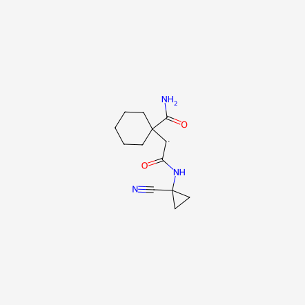 N#CC1(NC(=O)[CH]C2(C(N)=O)CCCCC2)CC1